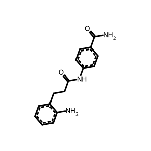 NC(=O)c1ccc(NC(=O)CCc2ccccc2N)cc1